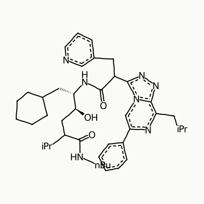 CCCCNC(=O)C(C[C@H](O)[C@H](CC1CCCCC1)NC(=O)C(Cc1cccnc1)c1nnc2c(CC(C)C)nc(-c3ccccc3)cn12)C(C)C